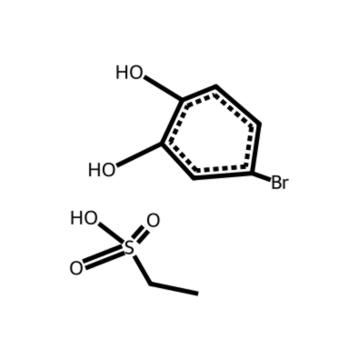 CCS(=O)(=O)O.Oc1ccc(Br)cc1O